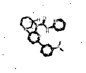 CN(C)c1cccc(-c2ccc3c(n2)N(C(=O)Nc2ccccn2)[C@H]2CCCN3C2)c1